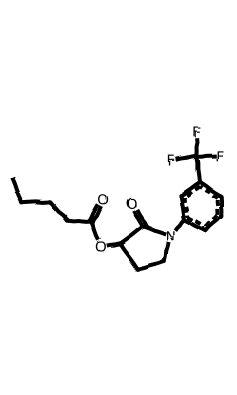 CCCCC(=O)OC1CCN(c2cccc(C(F)(F)F)c2)C1=O